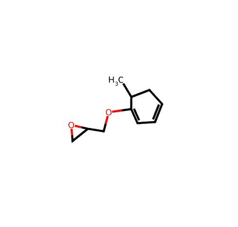 CC1CC=CC=C1OCC1CO1